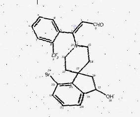 O=C/C=C(/c1ccccc1C(F)(F)F)N1CCC2(CC1)CC(O)c1cccc(Br)c12